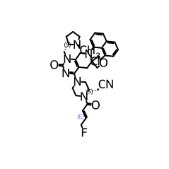 CN1CCC[C@H]1Cn1c2c(c(N3CCN(C(=O)/C=C/CF)[C@@H](CC#N)C3)nc1=O)CC1(COC1)N(c1cccc3cccc(Cl)c13)C2